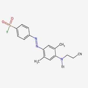 CCN(CCC#N)c1cc(C)c(/N=N/c2ccc(S(=O)(=O)F)cc2)cc1C